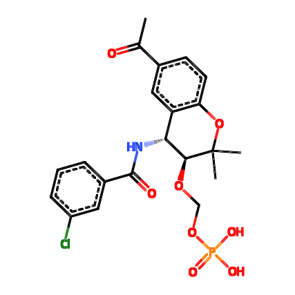 CC(=O)c1ccc2c(c1)[C@@H](NC(=O)c1cccc(Cl)c1)[C@H](OCOP(=O)(O)O)C(C)(C)O2